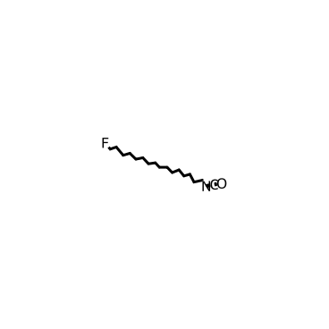 O=C=NCCCCCCCCCCCCCCCCF